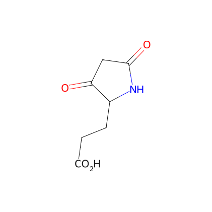 O=C(O)CCC1NC(=O)CC1=O